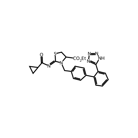 CCOC(=O)C1CSC(=NC(=O)C2CC2)N1Cc1ccc(-c2ccccc2-c2nnn[nH]2)cc1